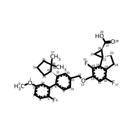 COc1ccc(F)c(-c2ccc(COc3cc(F)c4c(c3F)[C@@]3(CC4)C[C@H]3C(=O)O)cc2[C@@H]2CCCC2(C)C)c1